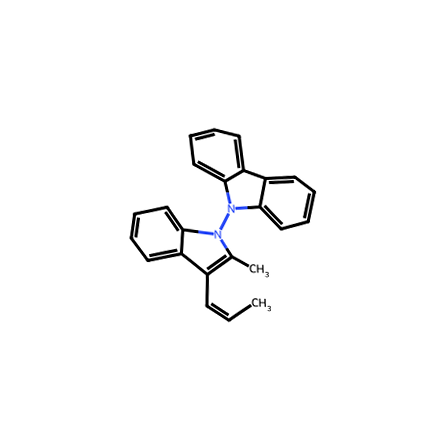 C/C=C\c1c(C)n(-n2c3ccccc3c3ccccc32)c2ccccc12